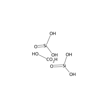 O=C(O)O.O=[Si](O)O.O=[Si](O)O